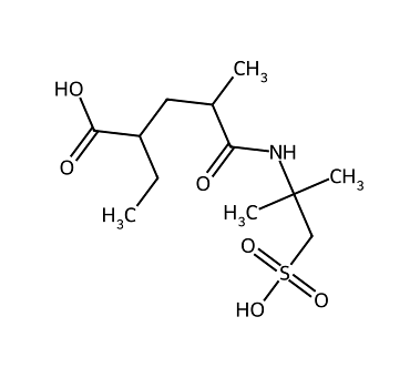 CCC(CC(C)C(=O)NC(C)(C)CS(=O)(=O)O)C(=O)O